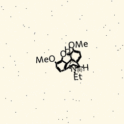 CCN1CC[C@@]23C4=CC=C(OC)[C@@H]2Oc2c(OC)ccc(c23)C[C@H]41